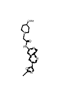 COC1CCN(CC(=O)Nc2cc3cc(-c4cnc(C)o4)cnc3cn2)CC1